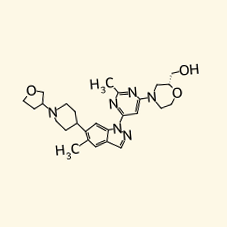 Cc1nc(N2CCO[C@@H](CO)C2)cc(-n2ncc3cc(C)c(C4CCN(C5CCOC5)CC4)cc32)n1